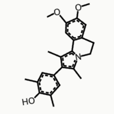 COc1cc2c(cc1OC)-c1c(C)c(-c3cc(C)c(O)c(C)c3)c(C)n1CC2